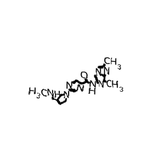 CNC[C@@H]1CCN(c2cnc(C(=O)Nc3cn4cc(C)nc4c(C)n3)cn2)C1